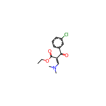 CCOC(=O)C(=CN(C)C)C(=O)c1cccc(Cl)c1